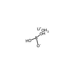 O.[Li+].[O-]B(O)O